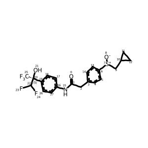 O=C(Cc1ccc([S+]([O-])CC2CC2)cc1)Nc1ccc([C@](O)(C(F)F)C(F)(F)F)cc1